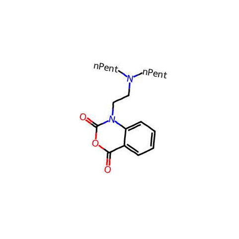 CCCCCN(CCCCC)CCn1c(=O)oc(=O)c2ccccc21